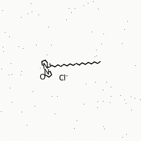 CCCCCCCCCCCCCCCCCC[N+]1(CN2CCCC2=O)CCCC1.[Cl-]